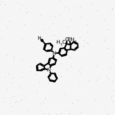 CC1(C)c2cc(N(c3ccc(C#N)cc3)c3ccc4c(c3)c3ccccc3n4-c3ccccc3)ccc2C2C=CC=CC21C